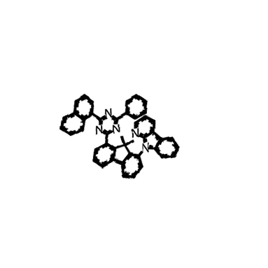 CC1(C)c2c(-c3nc(-c4ccccc4)nc(-c4cccc5ccccc45)n3)cccc2-c2cccc(-n3c4ccccc4c4cccnc43)c21